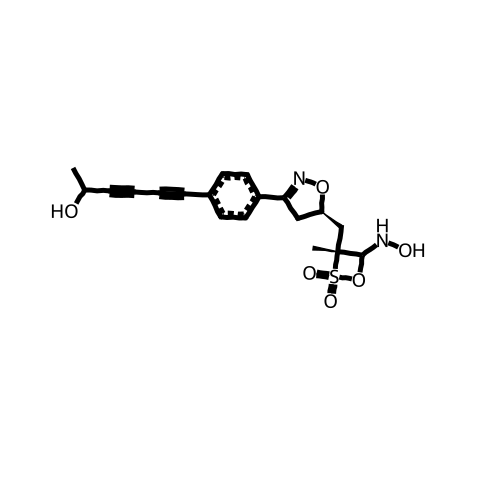 CC(O)C#CC#Cc1ccc(C2=NO[C@@H](C[C@]3(C)C(NO)OS3(=O)=O)C2)cc1